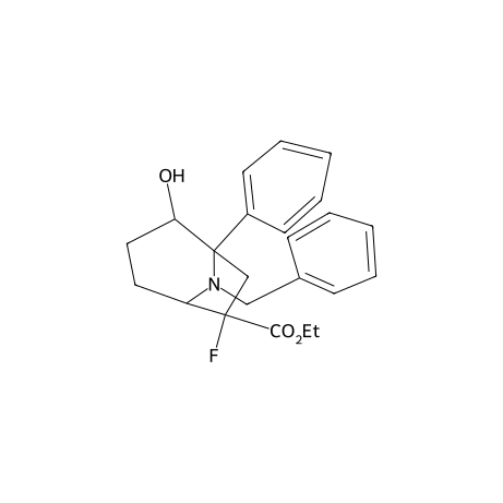 CCOC(=O)C1(F)CC2(c3ccccc3)C(O)CCC1N2Cc1ccccc1